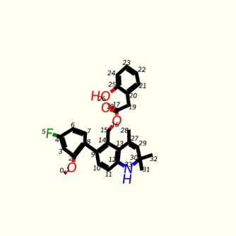 COc1cc(F)ccc1-c1ccc2c(c1COC(=O)Cc1ccccc1O)C(C)=CC(C)(C)N2